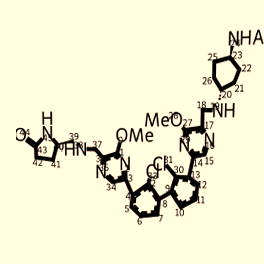 COc1nc(-c2cccc(-c3cccc(-c4cnc(CN[C@H]5CC[C@H](NC(C)=O)CC5)c(OC)n4)c3Cl)c2Cl)cnc1CNC[C@H]1CCC(=O)N1